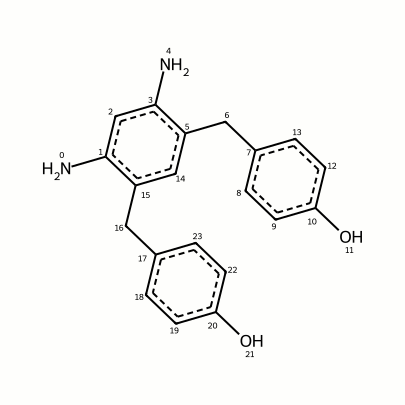 Nc1cc(N)c(Cc2ccc(O)cc2)cc1Cc1ccc(O)cc1